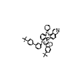 CC(C)(C)C1=CC2C3=C(OC2C=C1)B1c2ccc4cnccc4c2N(c2ccccc2)c2cccc(c21)N3c1cccc(-c2ccc(C(C)(C)C)cc2)c1